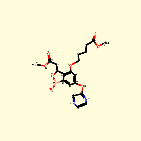 CC(C)(C)OC(=O)CCCCOc1cc(Oc2cnccn2)cc2c1C(CC(=O)OC(C)(C)C)OB2O